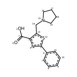 O=C(O)c1nc(-c2ccccc2)sc1CN1CCCC1